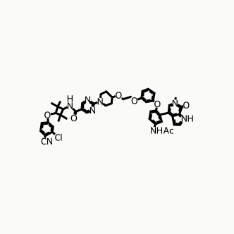 CC(=O)Nc1ccc(Oc2cccc(OCCOC3CCN(c4ncc(C(=O)NC5C(C)(C)C(Oc6ccc(C#N)c(Cl)c6)C5(C)C)cn4)CC3)c2)c(-c2cn(C)c(=O)c3[nH]ccc23)c1